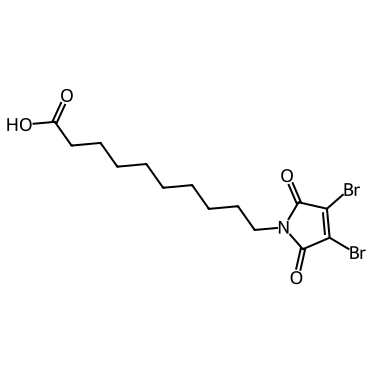 O=C(O)CCCCCCCCCN1C(=O)C(Br)=C(Br)C1=O